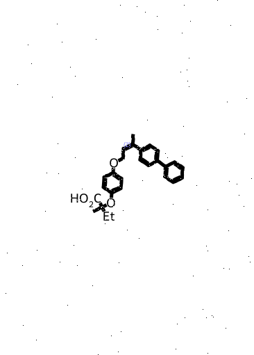 CCC(C)(Oc1ccc(OC/C=C(/C)c2ccc(-c3ccccc3)cc2)cc1)C(=O)O